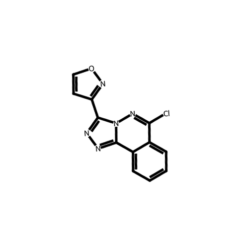 Clc1nn2c(-c3ccon3)nnc2c2ccccc12